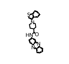 O=C(Nc1ccc2nc3ccccc3nc2c1)C1CCN(c2csc3ccccc23)CC1